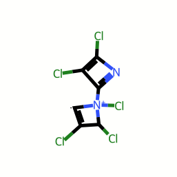 ClC1=[C][N+](Cl)(C2=NC(Cl)=C2Cl)C1Cl